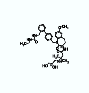 CCNC(=O)NCc1ccccc1-c1ccc(CN2C(=O)[C@H](NC(=O)CC(C)(C)NC[C@H](O)CO)CCc3cc(OC)ccc32)cc1